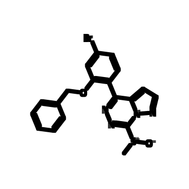 C[S+]([O-])c1nnc(-c2ccc(Br)cc2OCc2ccccc2)c2ccnn12